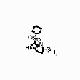 COc1ccc2[nH]cc(S(=O)(=O)c3ccccc3)c2n1